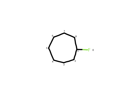 FC1CCC[CH]CCC1